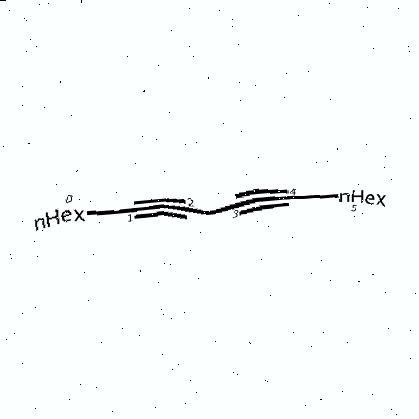 CCCCCCC#CC#CCCCCCC